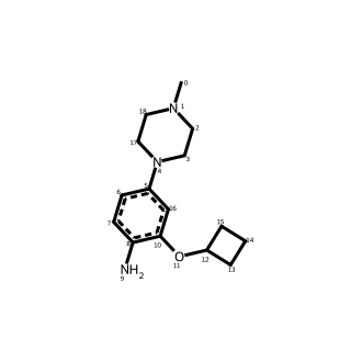 CN1CCN(c2ccc(N)c(OC3CCC3)c2)CC1